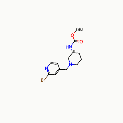 CC(C)(C)OC(=O)N[C@@H]1CCCN(Cc2ccnc(Br)c2)C1